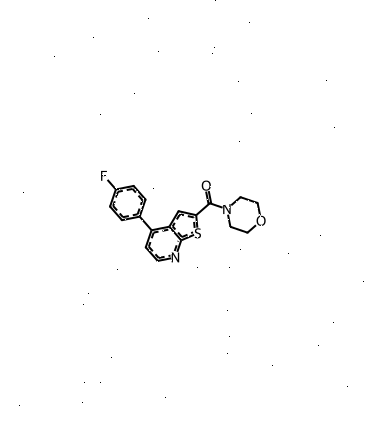 O=C(c1cc2c(-c3ccc(F)cc3)ccnc2s1)N1CCOCC1